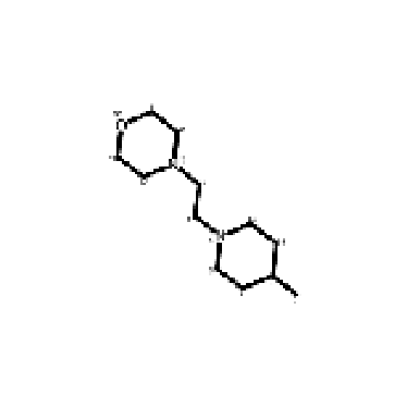 CC1CCN(CCN2CCOCC2)CC1